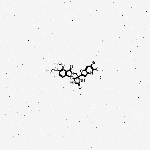 COc1ccc2c(c1OC)C(=O)N(C[C@@]1(c3cc4nc(C)c(Br)cc4o3)NC(=O)NC1=O)C2